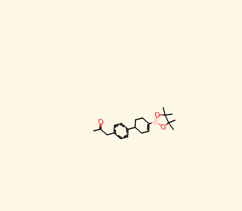 CC(=O)Cc1ccc(C2CC=C(B3OC(C)(C)C(C)(C)O3)CC2)cc1